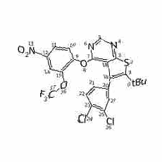 CC(C)(C)c1sc2ncnc(Oc3ccc([N+](=O)[O-])cc3OC(F)(F)F)c2c1-c1ccc(Cl)c(Cl)c1